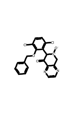 O=C1c2nccnc2C[S+]([O-])C1c1c(Cl)ccc(Cl)c1OCc1ccccc1